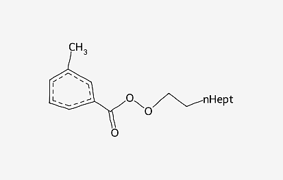 [CH2]CCCCCCCCOOC(=O)c1cccc(C)c1